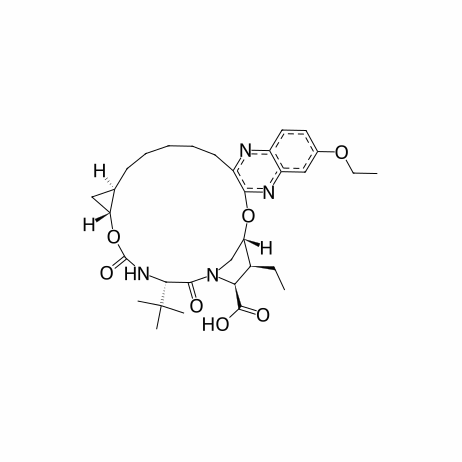 CCOc1ccc2nc3c(nc2c1)O[C@H]1CN(C(=O)[C@H](C(C)(C)C)NC(=O)O[C@@H]2C[C@H]2CCCCC3)[C@H](C(=O)O)[C@@H]1CC